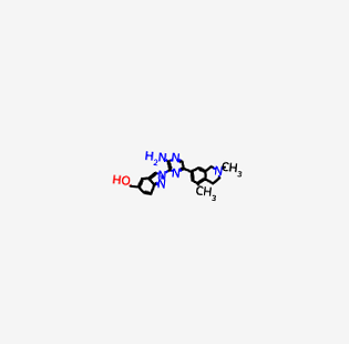 Cc1cc(-c2cnc(N)c(-n3cc4cc(CO)ccc4n3)n2)cc2c1CCN(C)C2